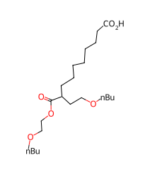 CCCCOCCOC(=O)C(CCCCCCCC(=O)O)CCOCCCC